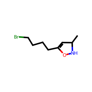 CC1C=C(CCCCBr)ON1